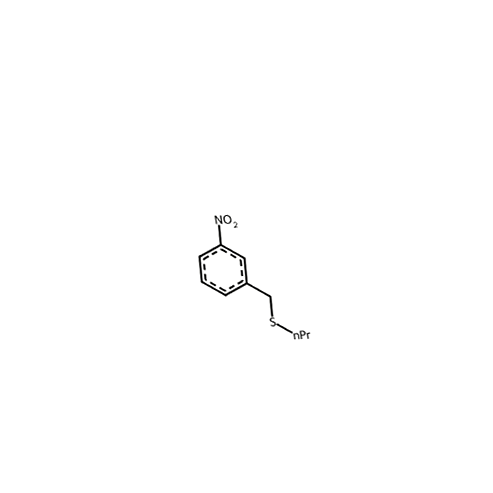 CCCSCc1cccc([N+](=O)[O-])c1